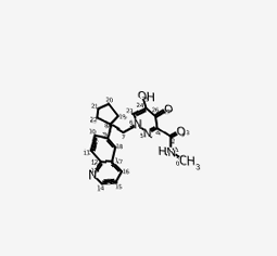 CNC(=O)c1nn(CC2(c3ccc4ncccc4c3)CCCC2)cc(O)c1=O